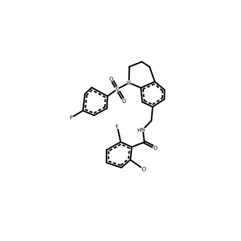 O=C(NCc1ccc2c(c1)N(S(=O)(=O)c1ccc(F)cc1)CCC2)c1c(F)cccc1Cl